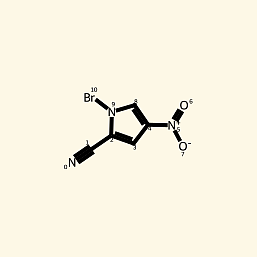 N#Cc1cc([N+](=O)[O-])cn1Br